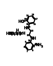 Br.Br.Br.Br.Nc1ccccc1NCCNc1ccccc1O